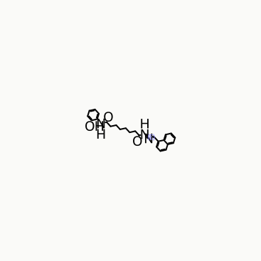 O=C(CCCCCCC(=O)Nc1ccccc1O)N/N=C/c1cccc2ccccc12